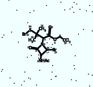 CC(=O)NC1C(=O)N(C(C(=O)OCC(Cl)(Cl)Cl)C(C)(C)SBr)C1Br